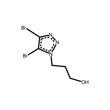 OCCCn1nnc(Br)c1Br